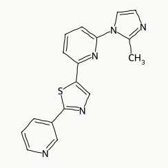 Cc1nccn1-c1cccc(-c2cnc(-c3cccnc3)s2)n1